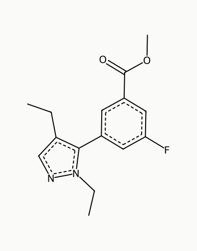 CCc1cnn(CC)c1-c1cc(F)cc(C(=O)OC)c1